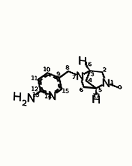 CN1C[C@@H]2C[C@H]1CN2Cc1ccc(N)nc1